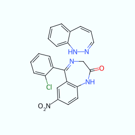 C1=Cc2ccccc2NN=C1.O=C1CN=C(c2ccccc2Cl)c2cc([N+](=O)[O-])ccc2N1